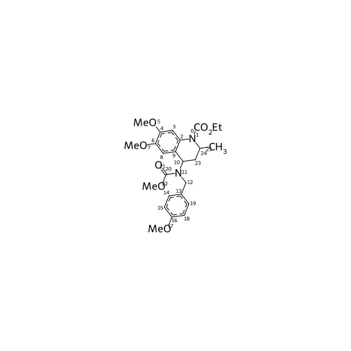 CCOC(=O)N1c2cc(OC)c(OC)cc2C(N(Cc2ccc(OC)cc2)C(=O)OC)CC1C